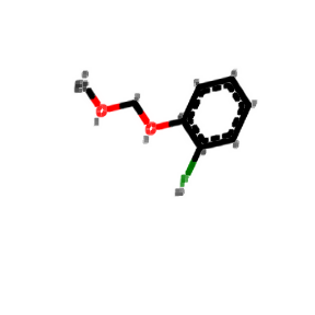 CCOCOc1cc[c]cc1F